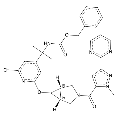 Cn1nc(-c2ncccn2)cc1C(=O)N1C[C@@H]2C(Oc3cc(C(C)(C)NC(=O)OCc4ccccc4)cc(Cl)n3)[C@@H]2C1